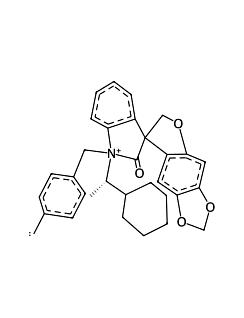 [CH]c1ccc(C[N+]2([C@@H](C)C3CCCCC3)C(=O)C3(COc4cc5c(cc43)OCO5)c3ccccc32)cc1